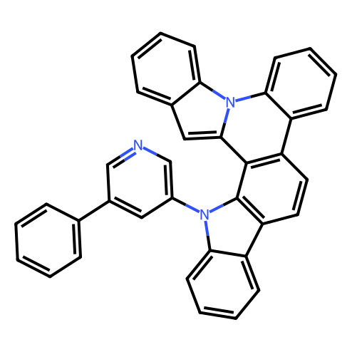 c1ccc(-c2cncc(-n3c4ccccc4c4ccc5c6ccccc6n6c7ccccc7cc6c5c43)c2)cc1